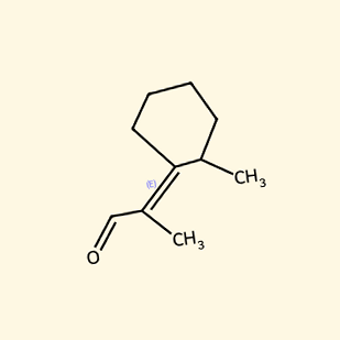 C/C(C=O)=C1/CCCCC1C